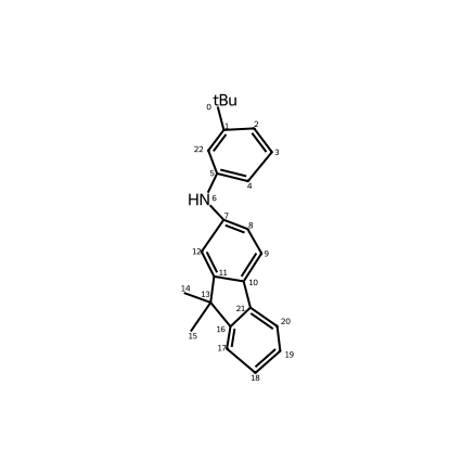 CC(C)(C)c1cccc(Nc2ccc3c(c2)C(C)(C)c2ccccc2-3)c1